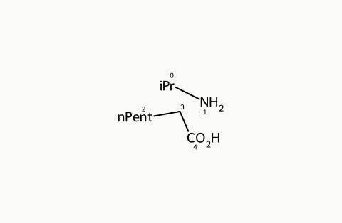 CC(C)N.CCCCCCC(=O)O